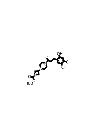 CC(C)(C)OC(=O)N1CC(N2CCN(C(=O)CCc3cc(Cl)c(Cl)cc3O)CC2)C1